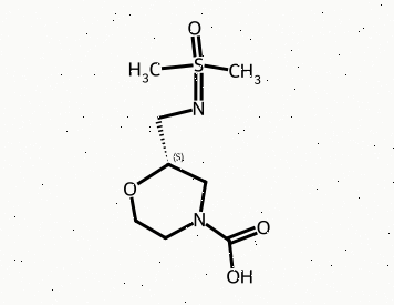 CS(C)(=O)=NC[C@@H]1CN(C(=O)O)CCO1